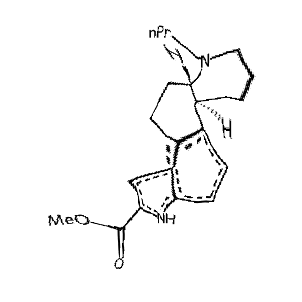 CCCN1CCC[C@H]2c3ccc4[nH]c(C(=O)OC)cc4c3CC[C@@H]21